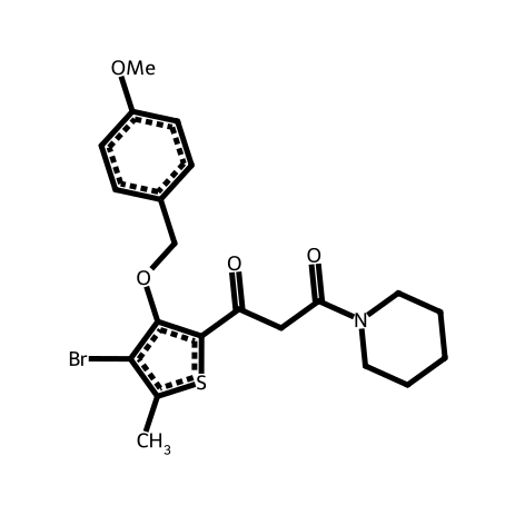 COc1ccc(COc2c(C(=O)CC(=O)N3CCCCC3)sc(C)c2Br)cc1